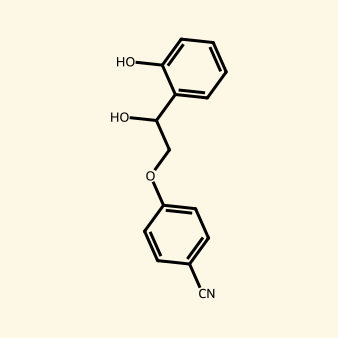 N#Cc1ccc(OCC(O)c2ccccc2O)cc1